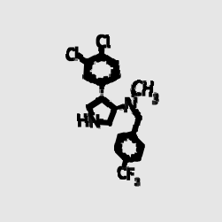 CN(Cc1ccc(C(F)(F)F)cc1)[C@H]1CNC[C@@H]1c1ccc(Cl)c(Cl)c1